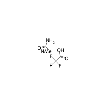 CNC(N)=O.O=C(O)C(F)(F)F